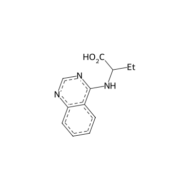 CCC(Nc1ncnc2ccccc12)C(=O)O